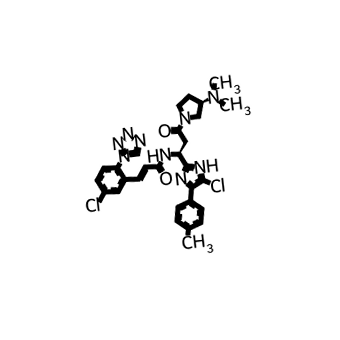 Cc1ccc(-c2nc([C@H](CC(=O)N3CC[C@@H](N(C)C)C3)NC(=O)/C=C/c3cc(Cl)ccc3-n3cnnn3)[nH]c2Cl)cc1